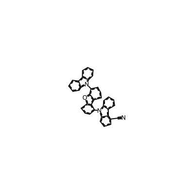 N#Cc1cccc2c1c1ccccc1n2-c1cccc2oc3c(-n4c5ccccc5c5ccccc54)cccc3c12